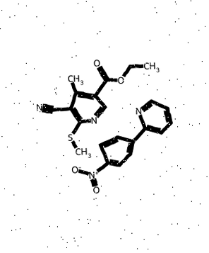 CCOC(=O)c1cnc(SC)c(C#N)c1C.O=[N+]([O-])c1ccc(-c2ccccn2)cc1